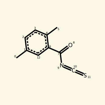 Cc1ccc(C)c(C(=O)N=C=S)c1